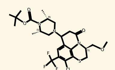 COC[C@H]1CSc2c(Cl)c(C(F)(F)F)cc3c2N1C(=O)CC3N1C[C@@H](C)N(C(=O)OC(C)(C)C)[C@@H](C)C1